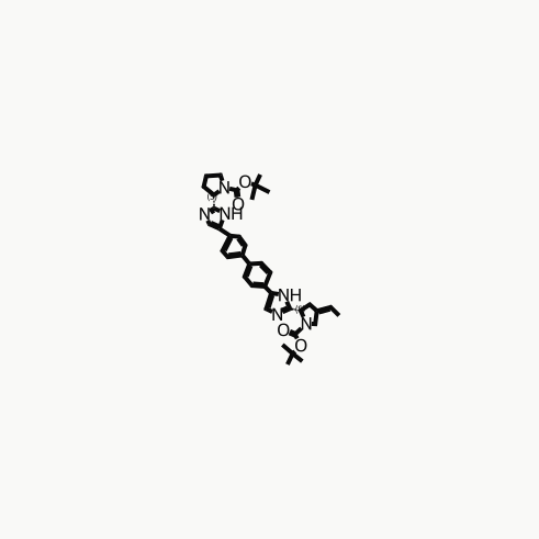 CC=C1C[C@@H](c2ncc(-c3ccc(-c4ccc(-c5cnc([C@@H]6CCCN6C(=O)OC(C)(C)C)[nH]5)cc4)cc3)[nH]2)N(C(=O)OC(C)(C)C)C1